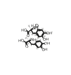 C[C@](N)(Cc1ccc(O)c(O)c1)C(=O)O.C[C@](N)(Cc1ccc(O)c(O)c1)C(=O)O.O